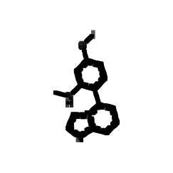 CNc1cc(OI)ccc1-c1cccc2nccn12